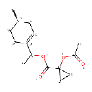 CC(=O)OC1(C(=O)OC(C)C2=CC[C@H](C)CC2)CC1